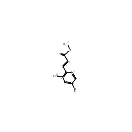 COC(=O)/C=C/c1ncc(F)cc1O